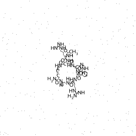 CC(=O)N[C@@H](CCCNC(=N)N)C(=O)NC1CC(=O)NCCCCC(C(N)=O)NC(=O)CNC(=O)[C@H](CCCNC(=N)N)NC(=O)[C@](C)(Cc2ccccc2)NC(=O)[C@H](Cc2c[nH]cn2)NC1=O